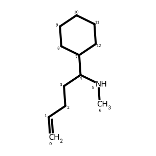 C=CCCC(NC)C1CCCCC1